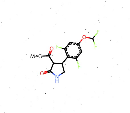 COC(=O)C1C(=O)NCC1c1c(F)cc(OC(F)F)cc1F